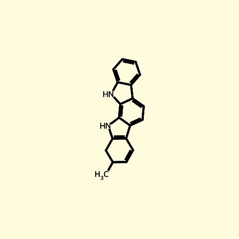 CC1C=Cc2c([nH]c3c2ccc2c4ccccc4[nH]c23)C1